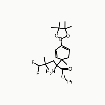 CC(C)OC(=O)C(N)(CC(C)(C)C(F)F)C1(C)C=CC(B2OC(C)(C)C(C)(C)O2)=CC1